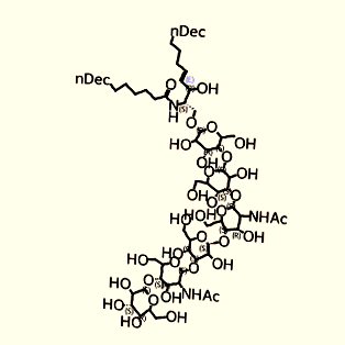 CCCCCCCCCCCCC/C=C/[C@@H](O)[C@H](CO[C@@H]1OC(CO)[C@@H](O[C@@H]2OC(CO)[C@H](O)[C@H](O[C@@H]3OC(CO)[C@@H](O[C@@H]4OC(CO)[C@H](O)[C@H](O[C@@H]5OC(CO)[C@@H](O[C@@H]6OC(CO)[C@H](O)[C@H](O)C6O)[C@H](O)C5NC(C)=O)C4O)[C@H](O)C3NC(C)=O)C2O)[C@H](O)C1O)NC(=O)CCCCCCCCCCCCCCC